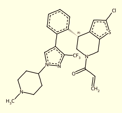 C=CC(=O)N1Cc2sc(Cl)cc2[C@@H](c2ccccc2-c2cn(C3CCN(C)CC3)nc2C(F)(F)F)C1